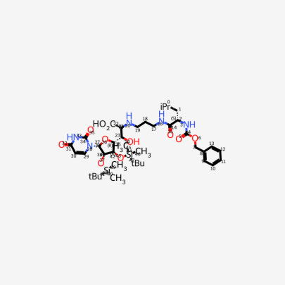 CC(C)C[C@H](NC(=O)OCc1ccccc1)C(=O)NCCCN[C@H](C(=O)O)C(O)[C@H]1O[C@@H](n2ccc(=O)[nH]c2=O)[C@H](O[Si](C)(C)C(C)(C)C)[C@@H]1O[Si](C)(C)C(C)(C)C